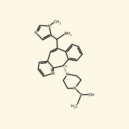 CB(O)N1CCN([C@H]2c3ccccc3C(C(N)c3cncn3C)=Cc3cccnc32)CC1